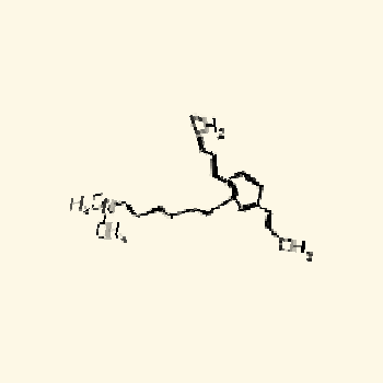 C=C/C=C/c1ccc(/C=C/C)cc1CCCCCCN(C)C